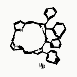 C1=CC2=NC1=CC1=NC(=C(c3ccccc3)C3=NC(=CC4=NC(=C2)C=C4)C=C3c2ccccc2)C(c2ccccc2)=C1c1ccccc1.N#N